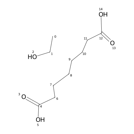 CCO.O=C(O)CCCCCCC(=O)O